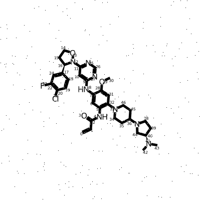 C=CC(=O)Nc1cc(Nc2cc(N3OCC[C@@H]3c3ccc(Cl)c(F)c3)ncn2)c(OC)cc1N1CCC(N2CC[C@H](N(C)C)C2)CC1